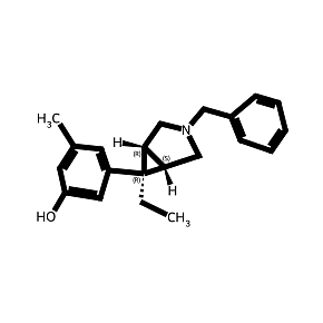 CC[C@]1(c2cc(C)cc(O)c2)[C@@H]2CN(Cc3ccccc3)C[C@@H]21